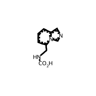 O=C(O)NCc1cccc2cncn12